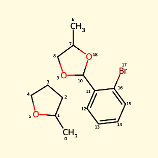 CC1CCCO1.CC1COC(c2ccccc2Br)O1